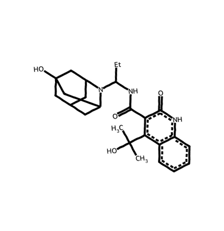 CCC(NC(=O)c1c(C(C)(C)O)c2ccccc2[nH]c1=O)N1C2CC3CC1CC(O)(C3)C2